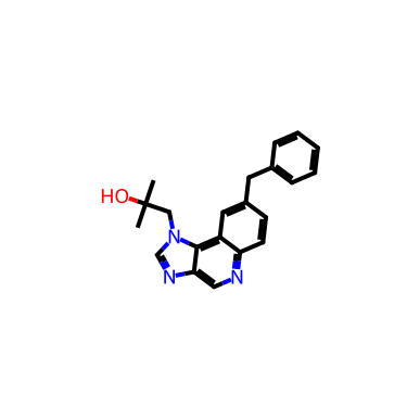 CC(C)(O)Cn1cnc2cnc3ccc(Cc4ccccc4)cc3c21